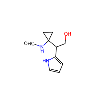 O=CNC1(C(CO)c2ccc[nH]2)CC1